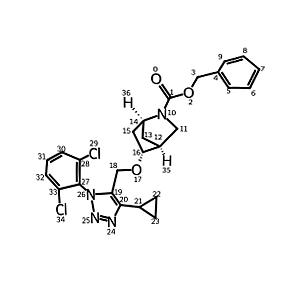 O=C(OCc1ccccc1)N1C[C@@H]2C[C@H]1C[C@H]2OCc1c(C2CC2)nnn1-c1c(Cl)cccc1Cl